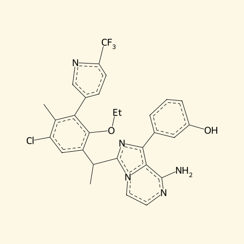 CCOc1c(C(C)c2nc(-c3cccc(O)c3)c3c(N)nccn23)cc(Cl)c(C)c1-c1ccc(C(F)(F)F)nc1